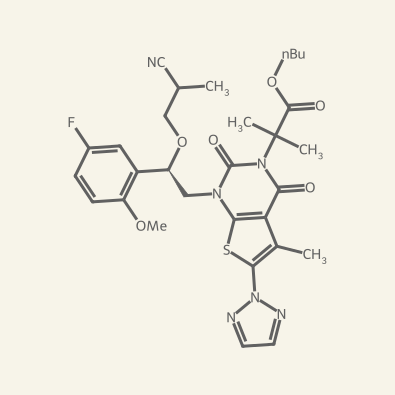 CCCCOC(=O)C(C)(C)n1c(=O)c2c(C)c(-n3nccn3)sc2n(C[C@H](OCC(C)C#N)c2cc(F)ccc2OC)c1=O